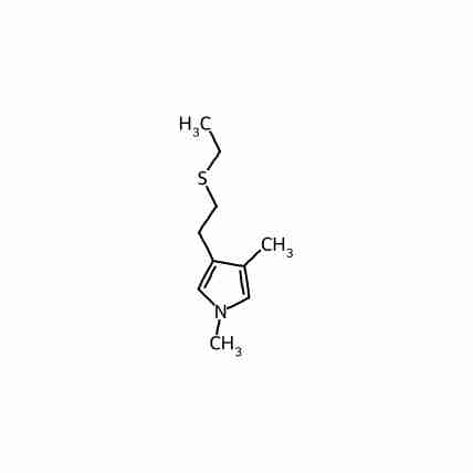 CCSCCc1cn(C)cc1C